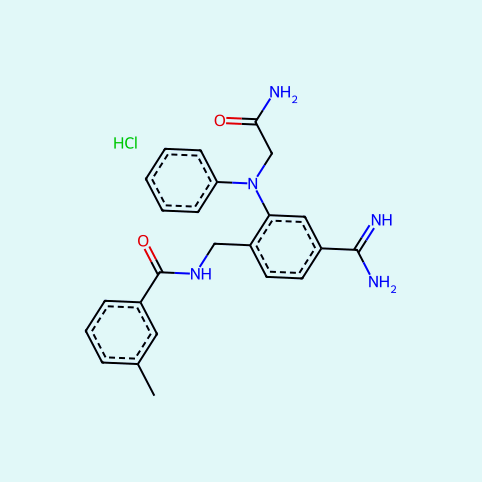 Cc1cccc(C(=O)NCc2ccc(C(=N)N)cc2N(CC(N)=O)c2ccccc2)c1.Cl